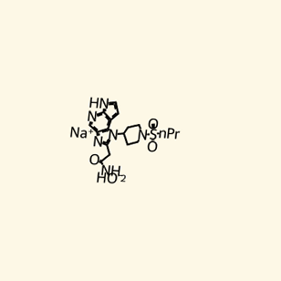 CCCS(=O)(=O)N1CCC(n2c(CC(N)=O)nc3cnc4[nH]ccc4c32)CC1.[Na+].[OH-]